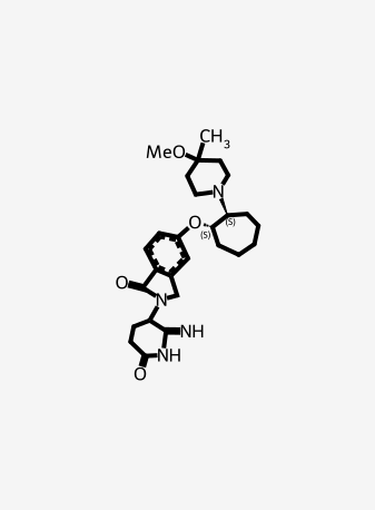 COC1(C)CCN([C@H]2CCCCC[C@@H]2Oc2ccc3c(c2)CN(C2CCC(=O)NC2=N)C3=O)CC1